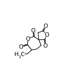 CCC1CCC2(CC(=O)OC2=O)C(=O)OC1=O